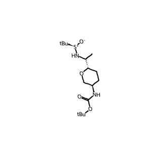 CC(N[S@+]([O-])C(C)(C)C)[C@@H]1CC[C@@H](NC(=O)OC(C)(C)C)CO1